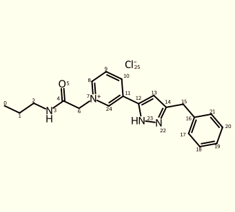 CCCNC(=O)C[n+]1cccc(-c2cc(Cc3ccccc3)n[nH]2)c1.[Cl-]